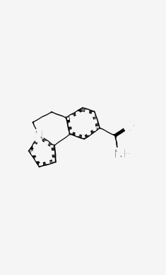 NC(=O)c1ccc2c(c1)-c1cccn1CC2